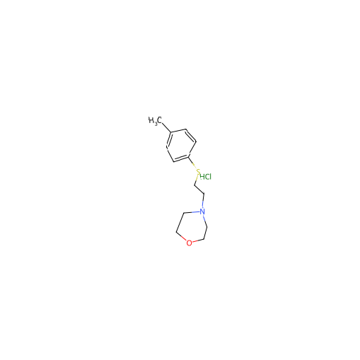 Cc1ccc(SCCN2CCOCC2)cc1.Cl